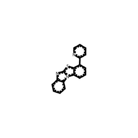 c1ccc(-c2cccc3c2sc2nc4ccccc4n23)nc1